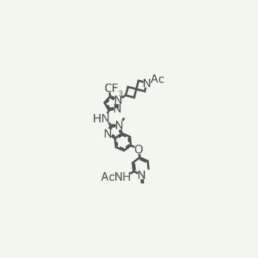 C=N/C(=C\C(=C/C)Oc1ccc2nc(Nc3cc(C(F)(F)F)n(C4CC5(C4)CN(C(C)=O)C5)n3)n(C)c2c1)NC(C)=O